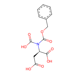 O=C(O)C[C@H](C(=O)O)N(C(=O)O)C(=O)OCc1ccccc1